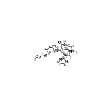 CC[C@H](Nc1c(-c2nc3ccc(OCCOC)cc3[nH]2)c(=O)[nH]c2cn(C)nc12)c1ncccn1